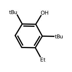 CCc1ccc(C(C)(C)C)c(O)c1C(C)(C)C